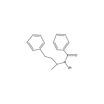 CC(C)N(C(=O)c1ccccc1)C(C)CCc1ccccc1